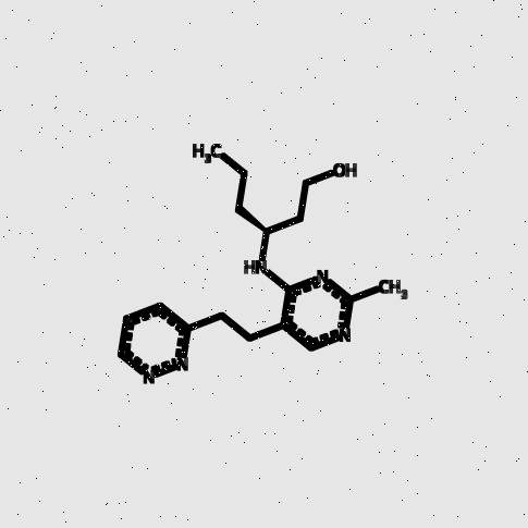 CCC[C@@H](CCO)Nc1nc(C)ncc1CCc1cccnn1